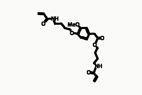 C=CC(=O)NCCCCOC(=O)Cc1ccc(OCCCCNC(=O)C=C)c(OC)c1